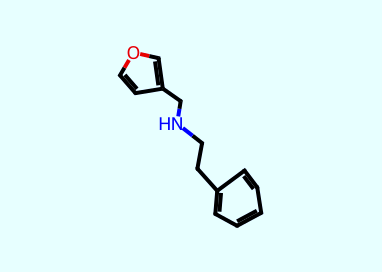 c1ccc(CCNCc2ccoc2)cc1